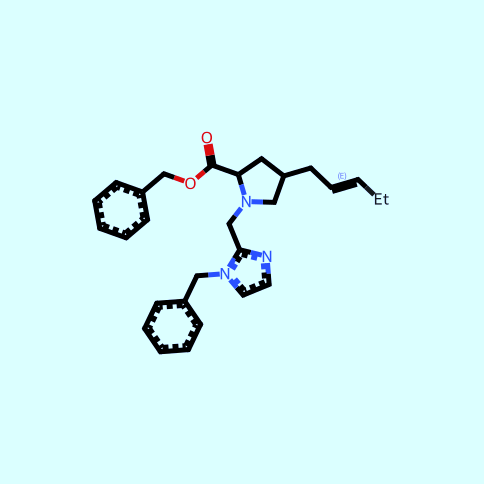 CC/C=C/CC1CC(C(=O)OCc2ccccc2)N(Cc2nccn2Cc2ccccc2)C1